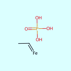 C[CH]=[Fe].O=P(O)(O)O